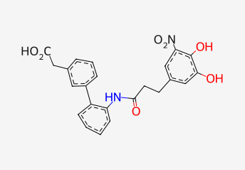 O=C(O)Cc1cccc(-c2ccccc2NC(=O)CCc2cc(O)c(O)c([N+](=O)[O-])c2)c1